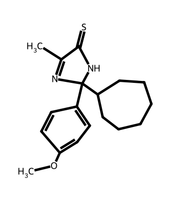 COc1ccc(C2(C3CCCCCC3)N=C(C)C(=S)N2)cc1